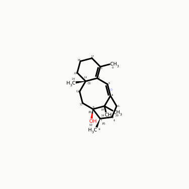 CC1=C2/C=C3/CC[C@@H](C)[C@](O)(CC[C@]2(C)CCC1)C3(C)C